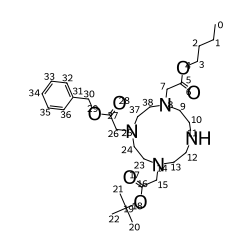 CCCCOC(=O)CN1CCNCCN(CC(=O)OC(C)(C)C)CCN(CC(=O)OCc2ccccc2)CC1